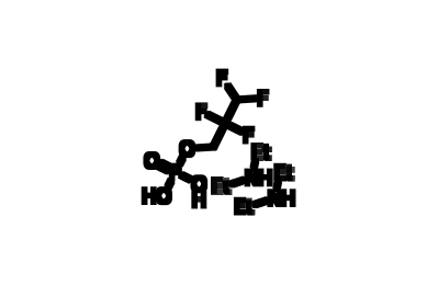 CCNCC.CCNCC.O=P(O)(O)OCC(F)(F)C(F)F